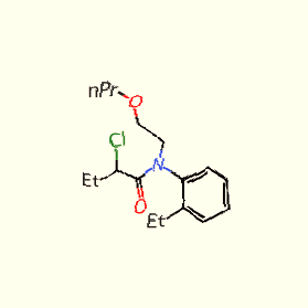 CCCOCCN(C(=O)C(Cl)CC)c1ccccc1CC